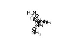 Nc1ccc(CNc2nc(NCO)nc(Nc3cccc(N)c3)n2)cc1